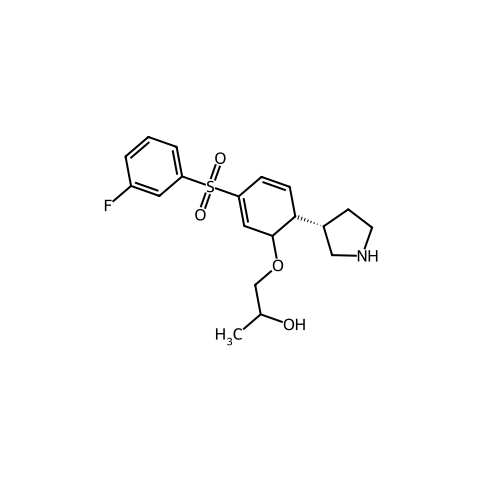 CC(O)COC1C=C(S(=O)(=O)c2cccc(F)c2)C=CC1[C@@H]1CCNC1